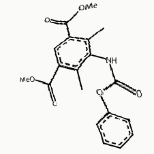 COC(=O)c1cc(C(=O)OC)c(C)c(NC(=O)Oc2ccccc2)c1C